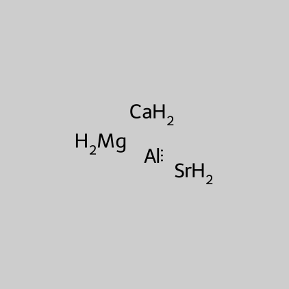 [Al].[CaH2].[MgH2].[SrH2]